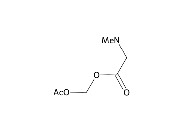 CNCC(=O)OCOC(C)=O